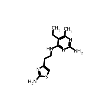 CCc1c(C)nc(N)nc1NCCc1csc(N)n1